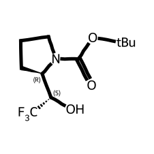 CC(C)(C)OC(=O)N1CCC[C@@H]1[C@H](O)C(F)(F)F